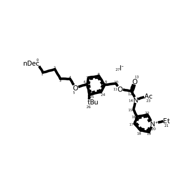 CCCCCCCCCCCCCCOc1ccc(COC(=O)N(Cc2ccc[n+](CC)c2)C(C)=O)cc1C(C)(C)C.[I-]